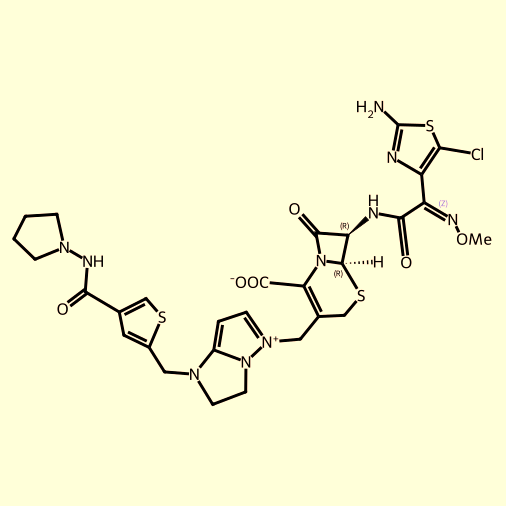 CO/N=C(\C(=O)N[C@@H]1C(=O)N2C(C(=O)[O-])=C(C[n+]3ccc4n3CCN4Cc3cc(C(=O)NN4CCCC4)cs3)CS[C@H]12)c1nc(N)sc1Cl